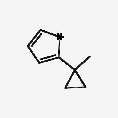 CC1(C2=CC=C[N]2)CC1